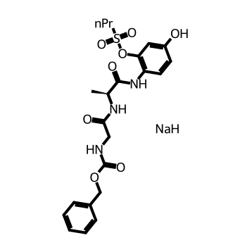 CCCS(=O)(=O)Oc1cc(O)ccc1NC(=O)[C@H](C)NC(=O)CNC(=O)OCc1ccccc1.[NaH]